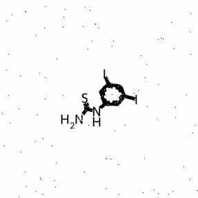 NC(=S)Nc1cc(I)cc(I)c1